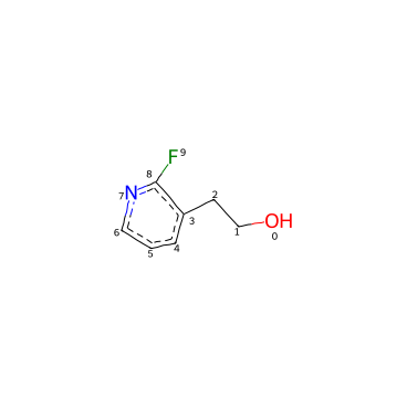 OCCc1cccnc1F